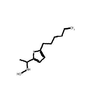 CC(NO)c1ccc(CCCCCC(F)(F)F)s1